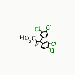 O=C(O)C1CC1(c1ccc(Cl)c(Cl)c1)c1ccc(Cl)c(Cl)c1